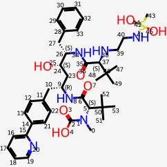 CN(C(=O)O)[C@H](C(=O)N[C@H](Cc1ccc(-c2ccccn2)cc1)C[C@H](O)[C@H](Cc1ccccc1)NC(=O)[C@@H](NCCNS(C)(O)O)C(C)(C)C)C(C)(C)C